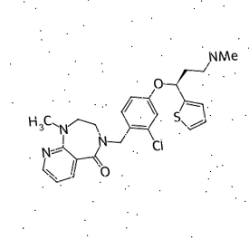 CNCC[C@H](Oc1ccc(CN2CCN(C)c3ncccc3C2=O)c(Cl)c1)c1cccs1